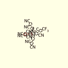 N#Cc1ccc(-c2ccc3c(c2)c2cc(-c4ccc(C#N)cc4C#N)ccc2n3-c2cc(C#N)c(-c3ccc(C(F)(F)F)cc3C(F)(F)F)cc2-n2c3ccc(-c4ccc(C#N)cc4C#N)cc3c3cc(-c4ccc(C#N)cc4C#N)ccc32)c(C#N)c1